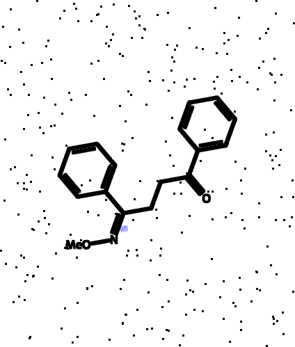 CO/N=C(/CCC(=O)c1ccccc1)c1ccccc1